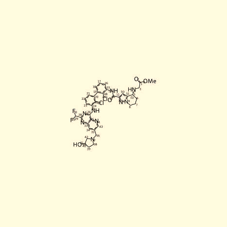 COC(=O)CN[C@H]1CCCn2nc(C(=O)Nc3cccc(-c4cccc(Nc5nc(C(F)F)nc6cc(CN7CC[C@@H](O)C7)cnc56)c4Cl)c3Cl)cc21